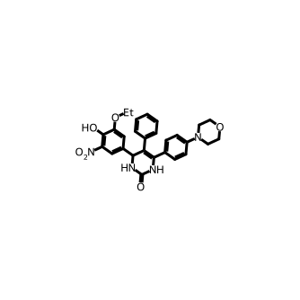 CCOc1cc(C2NC(=O)NC(c3ccc(N4CCOCC4)cc3)=C2c2ccccc2)cc([N+](=O)[O-])c1O